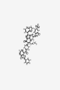 CCc1c(N2CCN(C(=O)c3ncnc(C)c3OCc3ccccc3)CC2)c(=O)n2nc(-c3cccc4ccoc34)nc2n1CC(=O)Nc1ccc(C(F)(F)F)cc1Cl